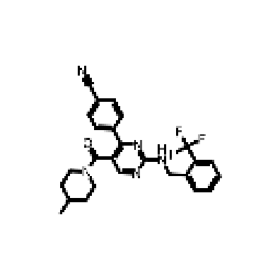 CC1CCN(C(=O)c2cnc(NCc3ccccc3C(F)(F)F)nc2-c2ccc(C#N)cc2)CC1